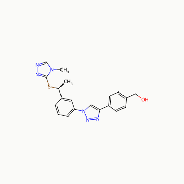 C[C@H](Sc1nncn1C)c1cccc(-n2cc(-c3ccc(CO)cc3)nn2)c1